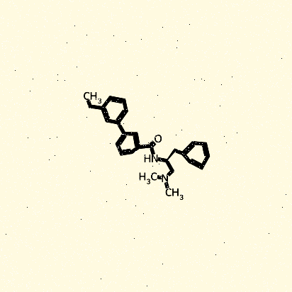 CCc1cccc(-c2cccc(C(=O)N[C@@H](Cc3ccccc3)CN(C)C)c2)c1